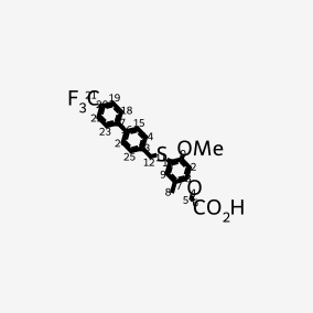 COc1cc(OCC(=O)O)c(C)cc1SCc1ccc(-c2ccc(C(F)(F)F)cc2)cc1